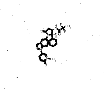 Cn1cc(-n2ncc3cc(N4C(=O)C[C@H](NC(=O)C(C)(F)F)[C@@]4(C)c4ccccc4)ccc32)ccc1=O